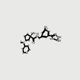 CC(C)[C@]1(C(=O)NCc2cc(C3=NNNN3)cc(C(F)(F)F)c2)CC[C@@H](N(C)C2CCOCC2)C1